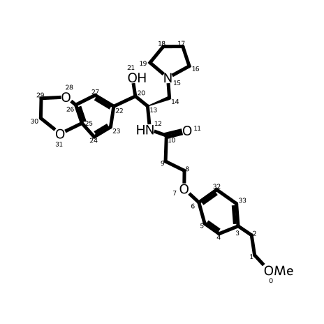 COCCc1ccc(OCCC(=O)N[C@H](CN2CCCC2)C(O)c2ccc3c(c2)OCCO3)cc1